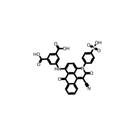 N#Cc1c2c3c(c(Nc4cc(C(=O)O)cc(C(=O)O)c4)ccc3n(-c3ccc(S(=O)(=O)O)cc3)c1=O)C(=O)c1ccccc1-2